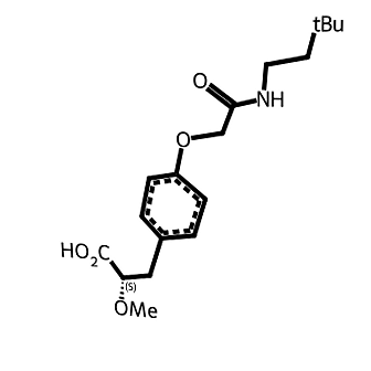 CO[C@@H](Cc1ccc(OCC(=O)NCCC(C)(C)C)cc1)C(=O)O